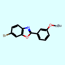 CCCCOc1cccc(-c2nc3ccc(Br)cc3o2)c1